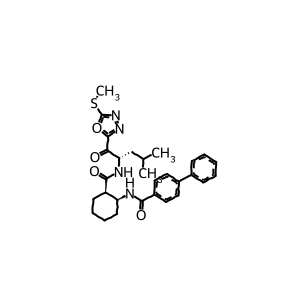 CSc1nnc(C(=O)[C@H](CC(C)C)NC(=O)[C@@H]2CCCC[C@@H]2NC(=O)c2ccc(-c3ccccc3)cc2)o1